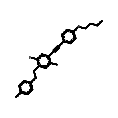 CCCCOc1ccc(C#Cc2cc(F)c(CCc3ccc(C)cc3)cc2C)cc1